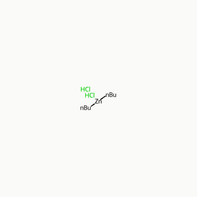 CCC[CH2][Zn][CH2]CCC.Cl.Cl